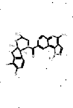 CC1CN(C(=O)c2cc3c(cn2)nc(N)c2cnn(C)c23)[C@H]2c3ccc(Br)c(F)c3C[C@H]2O1